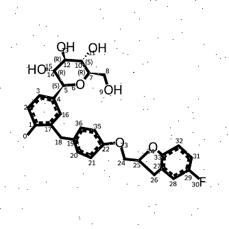 Cc1ccc([C@@H]2O[C@H](CO)[C@@H](O)[C@H](O)[C@H]2O)cc1Cc1ccc(OCC2Cc3cc(F)ccc3O2)cc1